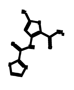 NC(=O)c1sc(Br)cc1NC(=O)c1nccs1